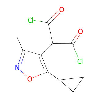 Cc1noc(C2CC2)c1C(C(=O)Cl)C(=O)Cl